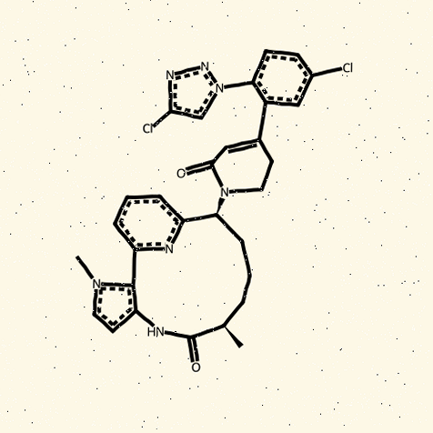 C[C@@H]1CCC[C@H](N2CCC(c3cc(Cl)ccc3-n3cc(Cl)nn3)=CC2=O)c2cccc(n2)-c2c(ccn2C)NC1=O